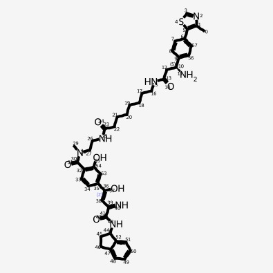 Cc1ncsc1-c1ccc([C@@H](N)CC(=O)NCCCCCCCC(=O)NCCN(C)C(=O)c2ccc(/C(O)=C/C(=N)C(=O)NC3CCc4ccccc43)cc2O)cc1